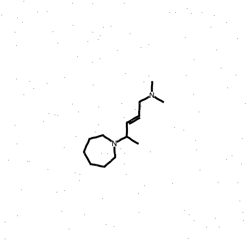 CC(/C=C/CN(C)C)N1CCCCCC1